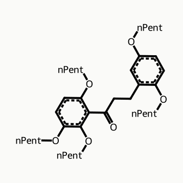 CCCCCOc1ccc(OCCCCC)c(CCC(=O)c2c(OCCCCC)ccc(OCCCCC)c2OCCCCC)c1